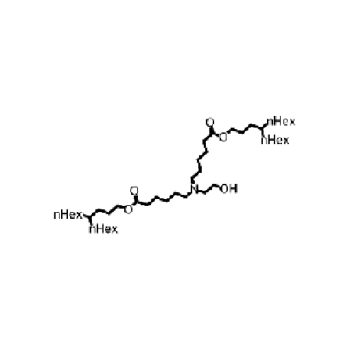 CCCCCCC(CCCCCC)CCCOC(=O)CCCCCN(CCO)CCCCCC(=O)OCCCC(CCCCCC)CCCCCC